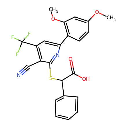 COc1ccc(-c2cc(C(F)(F)F)c(C#N)c(SC(C(=O)O)c3ccccc3)n2)c(OC)c1